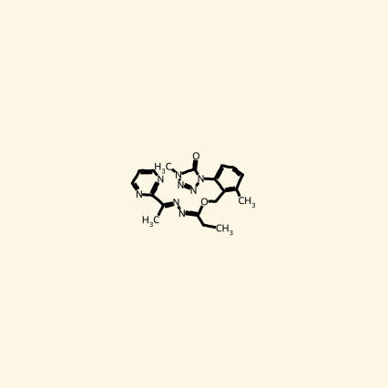 CC/C(=N/N=C(C)c1ncccn1)OCc1c(C)cccc1-n1nnn(C)c1=O